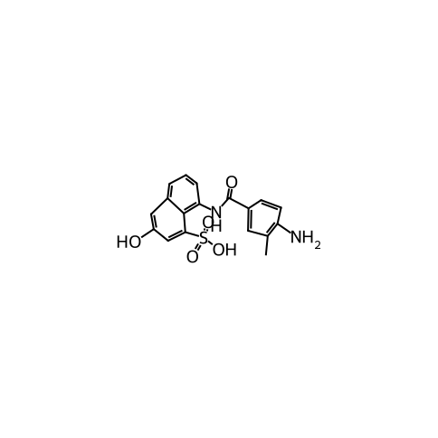 Cc1cc(C(=O)Nc2cccc3cc(O)cc(S(=O)(=O)O)c23)ccc1N